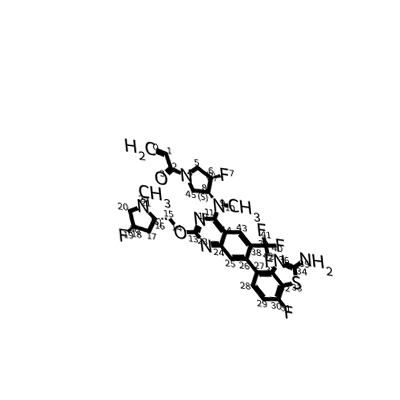 C=CC(=O)N1C[C@@H](F)[C@@H](N(C)c2nc(OC[C@@H]3C[C@@H](F)CN3C)nc3cc(-c4ccc(F)c5sc(N)nc45)c(C(F)(F)F)cc23)C1